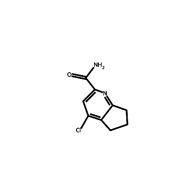 NC(=O)c1cc(Cl)c2c(n1)CCC2